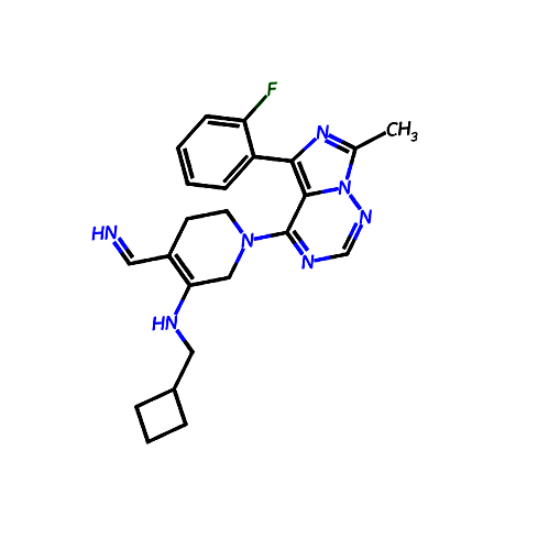 Cc1nc(-c2ccccc2F)c2c(N3CCC(C=N)=C(NCC4CCC4)C3)ncnn12